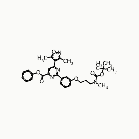 Cc1noc(C)c1-c1cc(C(=O)Oc2ccccc2)nc(-c2cccc(OCCCN(C)C(=O)OC(C)(C)C)c2)n1